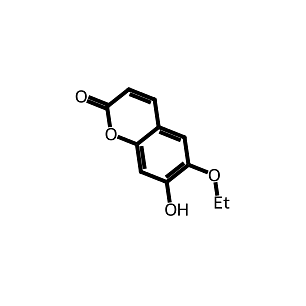 CCOc1cc2ccc(=O)oc2cc1O